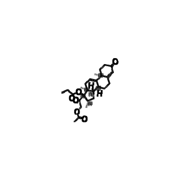 CCC(=O)O[C@]1(C(=O)COC(C)=O)[C@@H](C)C[C@H]2[C@@H]3CCC4=CC(=O)CC[C@]4(C)C3=CC[C@@]21C